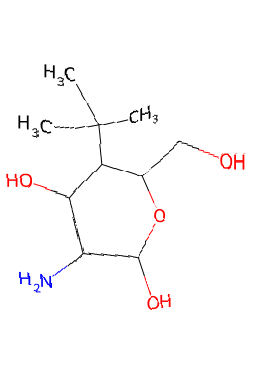 CC(C)(C)C1C(CO)OC(O)C(N)C1O